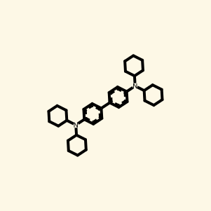 c1cc(N(C2CCCCC2)C2CCCCC2)ccc1-c1ccc(N(C2CCCCC2)C2CCCCC2)cc1